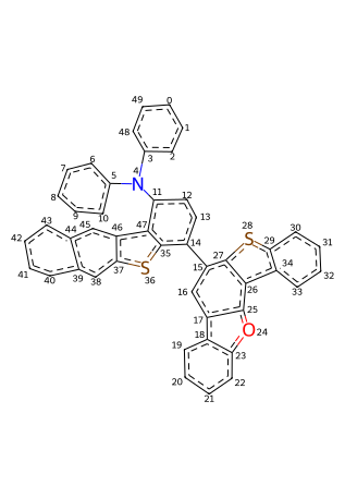 c1ccc(N(c2ccccc2)c2ccc(-c3cc4c5ccccc5oc4c4c3sc3ccccc34)c3sc4cc5ccccc5cc4c23)cc1